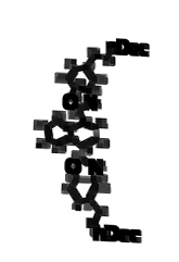 CCCCCCCCCCCCc1ccc2oc(-c3ccc(-c4nc5cc(CCCCCCCCCCCC)ccc5o4)c4ccccc34)nc2c1